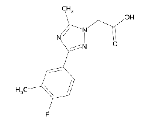 Cc1cc(-c2nc(C)n(CC(=O)O)n2)ccc1F